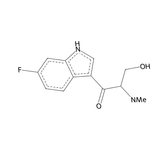 CNC(CO)C(=O)c1c[nH]c2cc(F)ccc12